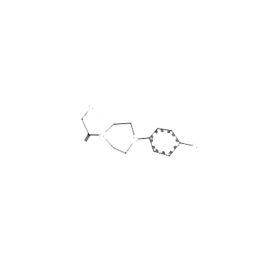 C[C@H](N)C(=O)N1CCN(c2ccc(N)cc2)CC1